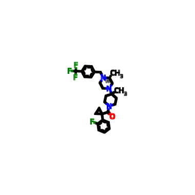 C[C@H]1CN(C2(C)CCN(C(=O)C3(c4ccccc4F)CC3)CC2)CCN1Cc1ccc(C(F)(F)F)cc1